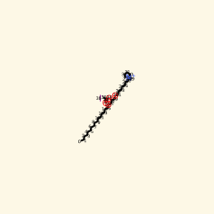 CCCCCCCCCCCCCCCCOCC(COCCCCCCC[N+]1(C)CCCC1)OC(C)=O.[I-]